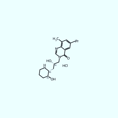 Cc1cc(C(C)C)cc2c(=O)n(C[C@@H](O)C[C@H]3NCCC[C@@H]3O)cnc12.Cl